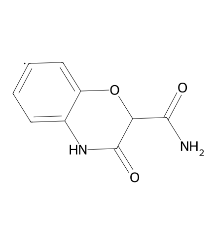 NC(=O)C1Oc2c[c]ccc2NC1=O